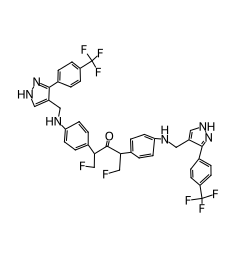 O=C(C(CF)c1ccc(NCc2c[nH]nc2-c2ccc(C(F)(F)F)cc2)cc1)C(CF)c1ccc(NCc2c[nH]nc2-c2ccc(C(F)(F)F)cc2)cc1